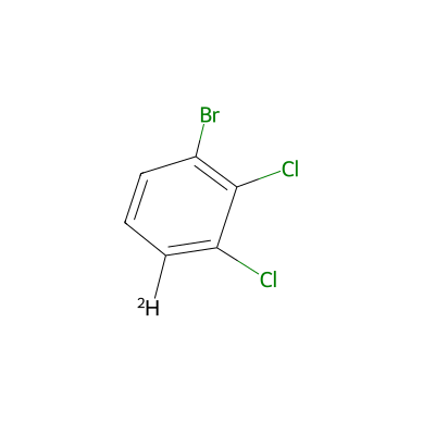 [2H]c1ccc(Br)c(Cl)c1Cl